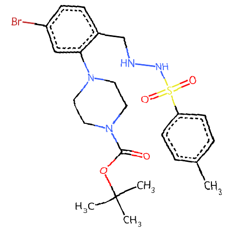 Cc1ccc(S(=O)(=O)NNCc2ccc(Br)cc2N2CCN(C(=O)OC(C)(C)C)CC2)cc1